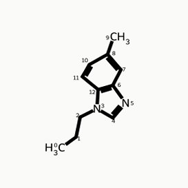 CCCn1cnc2cc(C)ccc21